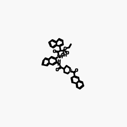 CCOP(=O)(O)C(C(=O)Nc1cc2ccccc2cc1NC(=O)C1CCN(C(=O)c2ccc3ccccc3c2)CC1)c1cccc2ccccc12